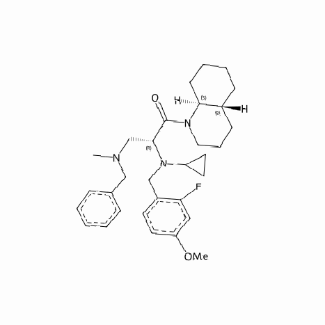 COc1ccc(CN(C2CC2)[C@H](CN(C)Cc2ccccc2)C(=O)N2CCC[C@H]3CCCC[C@@H]32)c(F)c1